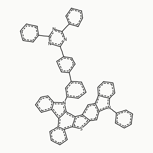 c1ccc(-c2nc(-c3ccccc3)nc(-c3ccc(-c4cccc(-n5c6ccccc6c6c7ccccc7c7sc8cc9c(cc8c7c65)c5ccccc5n9-c5ccccc5)c4)cc3)n2)cc1